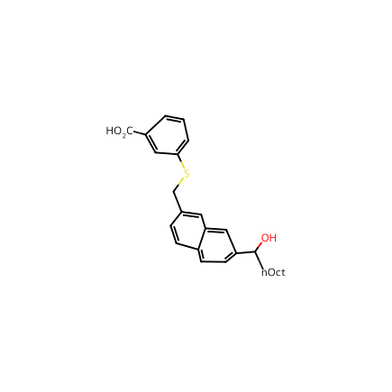 CCCCCCCCC(O)c1ccc2ccc(CSc3cccc(C(=O)O)c3)cc2c1